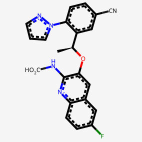 C[C@H](Oc1cc2cc(F)ccc2nc1NC(=O)O)c1cc(C#N)ccc1-n1cccn1